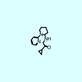 O=C(CNC1CCCCN1c1ccccn1)C1CC1